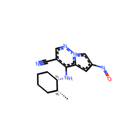 C[C@@H]1CCCC[C@@H]1Nc1c(C#N)cnn2cc(N=O)cc12